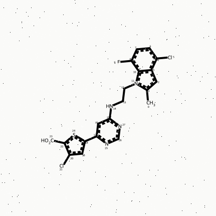 Cc1cc2c(Cl)ccc(F)c2n1CCNc1cc(-c2cc(Cl)c(C(=O)O)s2)ncn1